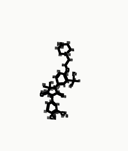 CC(F)(F)c1cc(N2C(=S)N(c3ccc(C#N)c(C(F)(F)F)c3)C(=O)C2(C)C)ccc1OCCN1CCNCC1